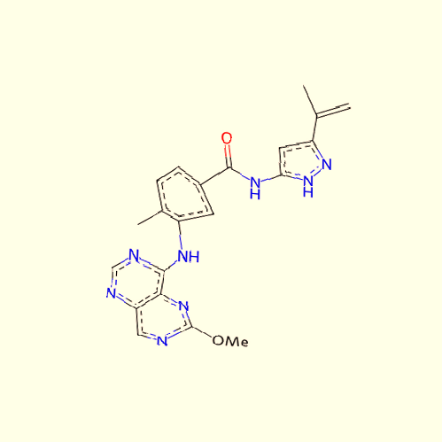 C=C(C)c1cc(NC(=O)c2ccc(C)c(Nc3ncnc4cnc(OC)nc34)c2)[nH]n1